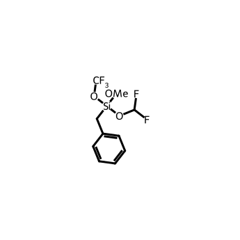 CO[Si](Cc1ccccc1)(OC(F)F)OC(F)(F)F